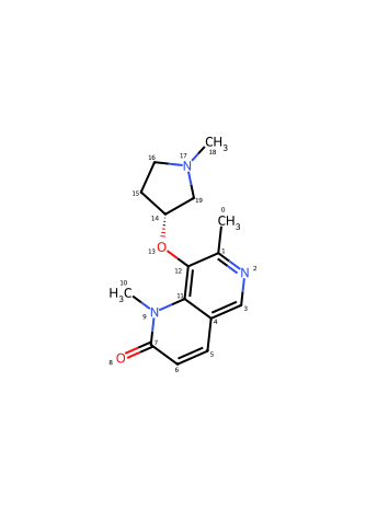 Cc1ncc2ccc(=O)n(C)c2c1O[C@@H]1CCN(C)C1